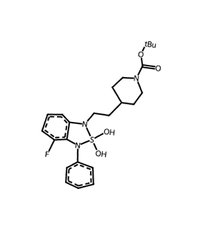 CC(C)(C)OC(=O)N1CCC(CCN2c3cccc(F)c3N(c3ccccc3)S2(O)O)CC1